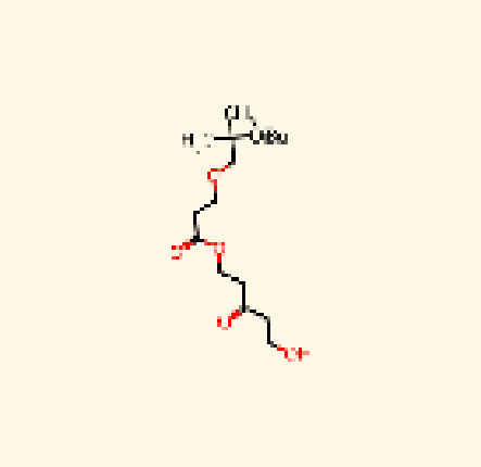 CC(C)COC(C)(C)COCCC(=O)OCCC(=O)CCO